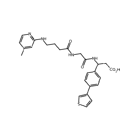 Cc1ccnc(NCCCC(=O)NCC(=O)NC(CC(=O)O)c2ccc(-c3ccsc3)cc2)c1